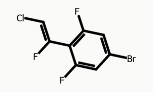 FC(=CCl)c1c(F)cc(Br)cc1F